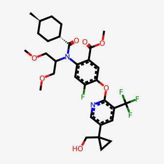 COCC(COC)N(c1cc(F)c(Oc2ncc(C3(CO)CC3)cc2C(F)(F)F)cc1C(=O)OC)C(=O)[C@H]1CC[C@H](C)CC1